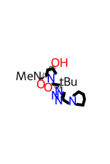 CNC(=O)[C@@H]1C[C@@H](O)CN1C(=O)[C@@H](n1cc(CN2CCCCCC2)nn1)C(C)(C)C